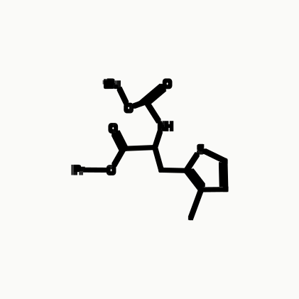 Cc1ccsc1CC(NC(=O)OC(C)(C)C)C(=O)OC(C)C